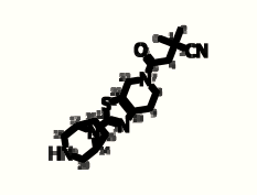 CC(C)(C#N)CC(=O)N1CCc2nc(N3C4CCC3CNC4)sc2C1